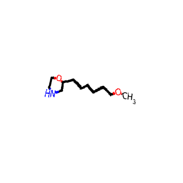 COCCCCCCC1CNCCO1